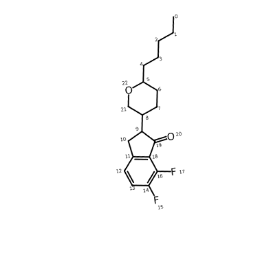 CCCCCC1CCC(C2Cc3ccc(F)c(F)c3C2=O)CO1